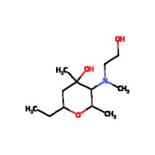 CCC1CC(C)(O)C(N(C)CCO)C(C)O1